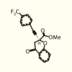 COC(=O)[C@]1(C#Cc2ccc(C(F)(F)F)cc2)CC(=O)c2ccccc2O1